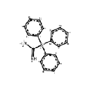 N=C(N)[N+](c1ccccc1)(c1ccccc1)c1ccccc1